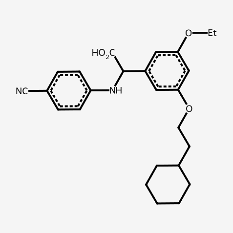 CCOc1cc(OCCC2CCCCC2)cc(C(Nc2ccc(C#N)cc2)C(=O)O)c1